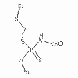 CCOP(=S)(NC=O)SCSCC